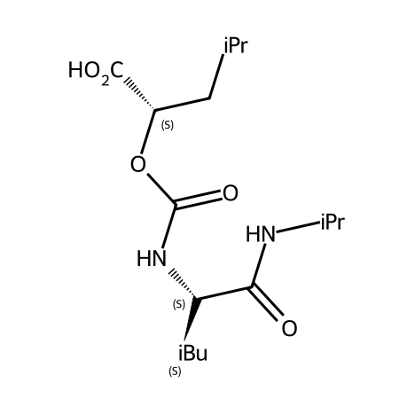 CC[C@H](C)[C@H](NC(=O)O[C@@H](CC(C)C)C(=O)O)C(=O)NC(C)C